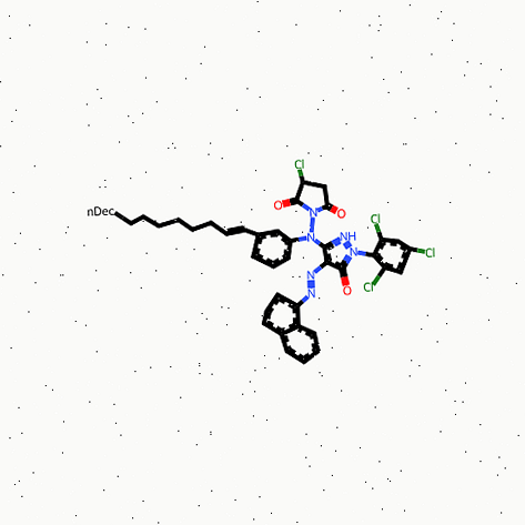 CCCCCCCCCCCCCCCCC=Cc1cccc(N(c2[nH]n(-c3c(Cl)cc(Cl)cc3Cl)c(=O)c2N=Nc2cccc3ccccc23)N2C(=O)CC(Cl)C2=O)c1